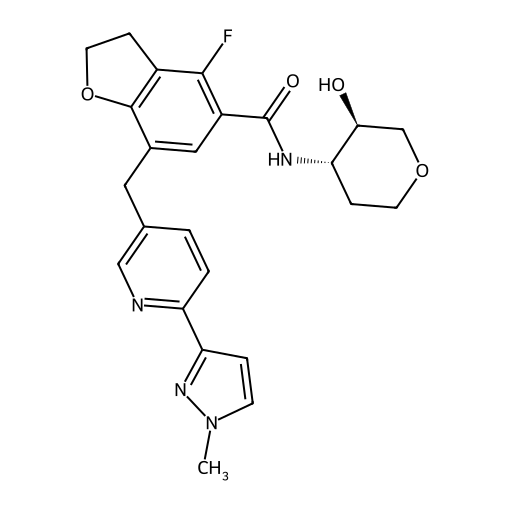 Cn1ccc(-c2ccc(Cc3cc(C(=O)N[C@H]4CCOC[C@@H]4O)c(F)c4c3OCC4)cn2)n1